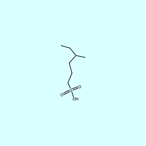 CCC(C)CCCS(=O)(=O)O